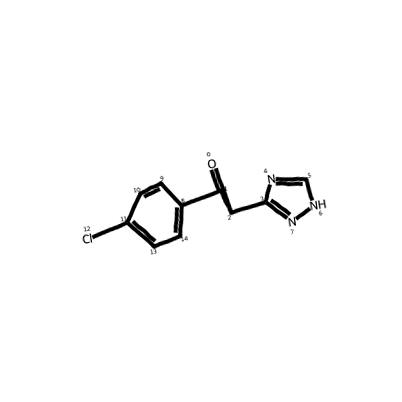 O=C(Cc1nc[nH]n1)c1ccc(Cl)cc1